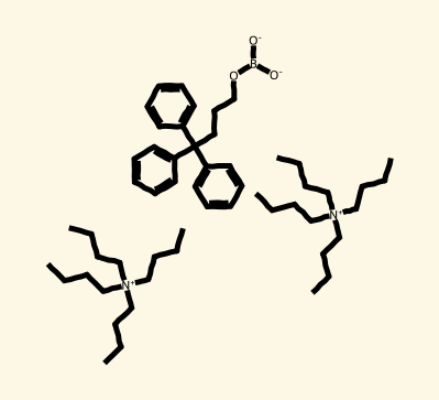 CCCC[N+](CCCC)(CCCC)CCCC.CCCC[N+](CCCC)(CCCC)CCCC.[O-]B([O-])OCCCC(c1ccccc1)(c1ccccc1)c1ccccc1